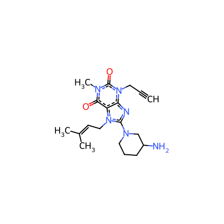 C#CCn1c(=O)n(C)c(=O)c2c1nc(N1CCCC(N)C1)n2CC=C(C)C